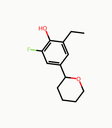 CCc1cc(C2CCCCO2)cc(F)c1O